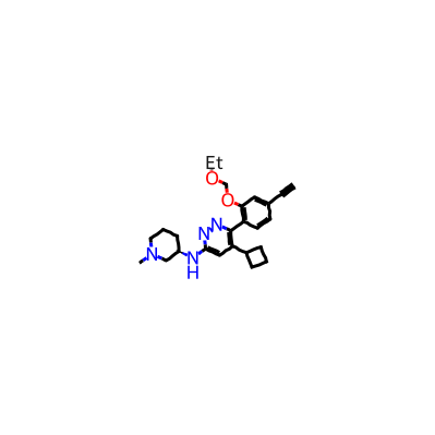 C#Cc1ccc(-c2nnc(N[C@@H]3CCCN(C)C3)cc2C2CCC2)c(OCOCC)c1